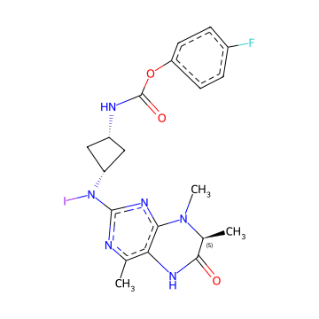 Cc1nc(N(I)[C@H]2C[C@@H](NC(=O)Oc3ccc(F)cc3)C2)nc2c1NC(=O)[C@H](C)N2C